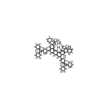 CC1(C)c2ccccc2-c2cc3c(-c4ccc(N(c5ccccc5)c5ccccc5)cc4)cc4cc5cc(-c6ccc(N(c7ccccc7)c7ccccc7)cc6)c6cc7c(cc6c5cc4c3cc21)C(C)(C)c1ccccc1-7